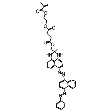 C=C(C)C(=O)OCCOC(=O)CCC(=O)OCC1(C)Nc2cccc3c(/N=N/c4ccc(/N=N/c5ccccc5)c5ccccc45)ccc(c23)N1